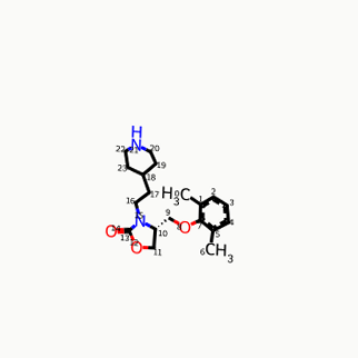 Cc1cccc(C)c1OC[C@@H]1COC(=O)N1CCC1CCNCC1